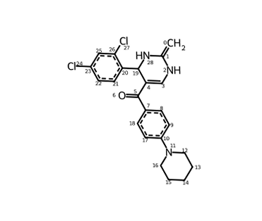 C=C1NC=C(C(=O)c2ccc(N3CCCCC3)cc2)C(c2ccc(Cl)cc2Cl)N1